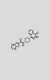 O=C(N[C@H]1CC[C@H](c2n[nH]c(=O)c3ccccc32)CC1)c1cc2nccnc2s1